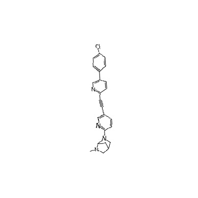 CN1CC2CC1N(c1ccc(C#Cc3ccc(-c4ccc(Cl)cc4)cn3)cn1)C2